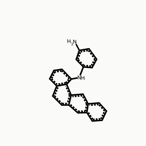 Nc1cccc(Nc2cccc3ccc4cc5ccccc5cc4c23)c1